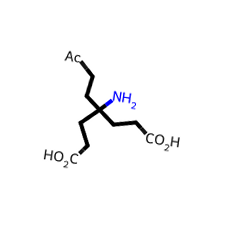 CC(=O)CCC(N)(CCC(=O)O)CCC(=O)O